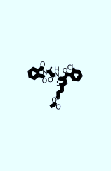 CC(=O)OCCCc1cc(C(=O)c2ccccc2Cl)c(NC(=O)[C@H](C)N2C(=O)c3ccccc3C2=O)s1